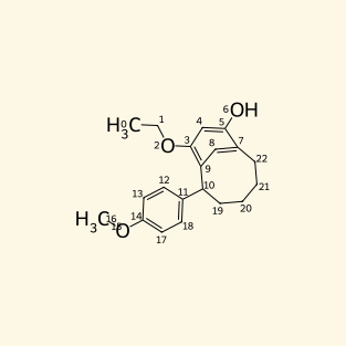 CCOc1cc(O)c2cc1C(c1ccc(OC)cc1)CCCC2